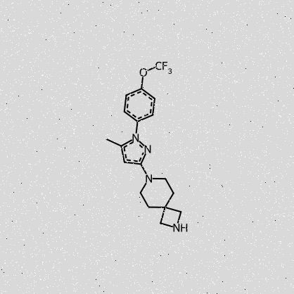 Cc1cc(N2CCC3(CC2)CNC3)nn1-c1ccc(OC(F)(F)F)cc1